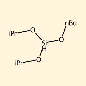 CCCCO[SiH](OC(C)C)OC(C)C